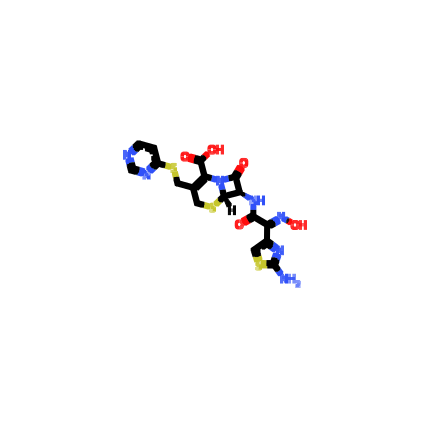 Nc1nc(C(=NO)C(=O)N[C@@H]2C(=O)N3C(C(=O)O)=C(CSc4ccncn4)CS[C@@H]23)cs1